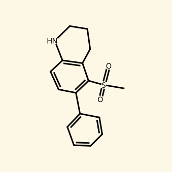 CS(=O)(=O)c1c(-c2ccccc2)ccc2c1CCCN2